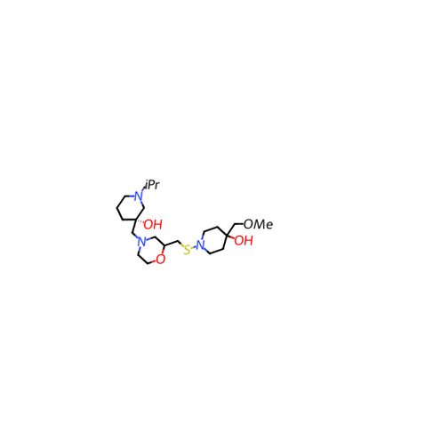 COCC1(O)CCN(SCC2CN(C[C@@]3(O)CCCN(C(C)C)C3)CCO2)CC1